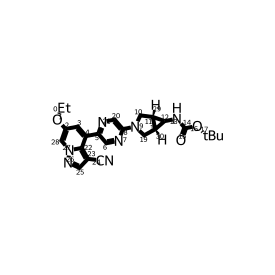 CCOc1cc(-c2cnc(N3C[C@@H]4C(NC(=O)OC(C)(C)C)[C@@H]4C3)cn2)c2c(C#N)cnn2c1